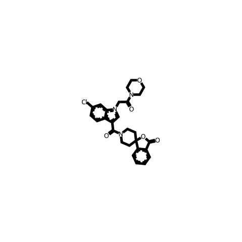 O=C1OC2(CCN(C(=O)c3cn(CC(=O)N4CCOCC4)c4cc(Cl)ccc34)CC2)c2ccccc21